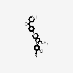 C[C@H]1CC2(CCN(c3ccc(C(=O)C4CCNCC4)cc3)CC2)CN1c1ccc(C#N)c(Cl)c1